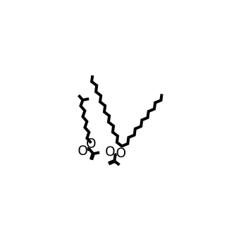 C=C(C)C(=O)OC(CCCCCCCCCCCC)CCCCCCCCCCCCCC.C=C(C)C(=O)OCCCCCCCC(C)C